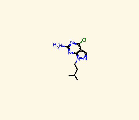 CC(C)CCn1ncc2c(Cl)nc(N)nc21